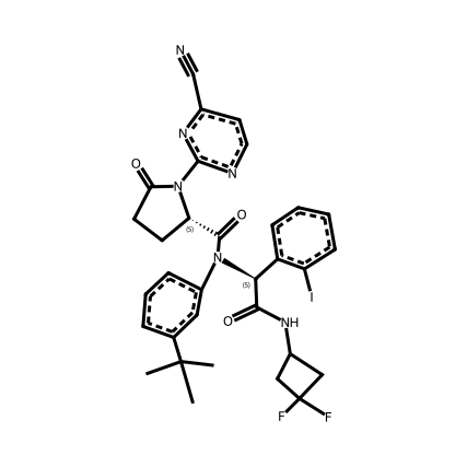 CC(C)(C)c1cccc(N(C(=O)[C@@H]2CCC(=O)N2c2nccc(C#N)n2)[C@H](C(=O)NC2CC(F)(F)C2)c2ccccc2I)c1